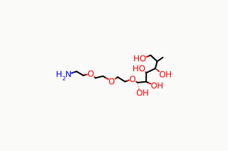 CC(CO)[C@@H](O)C(O)C(O)[C@H](O)OCCOCCOCCN